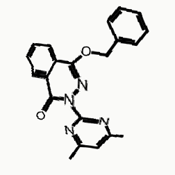 Cc1cc(C)nc(-n2nc(OCc3ccccc3)c3ccccc3c2=O)n1